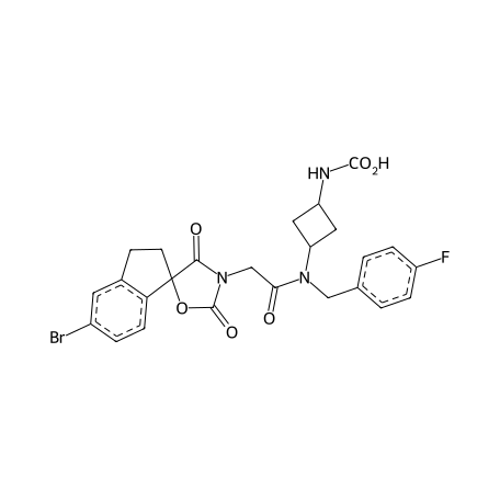 O=C(O)NC1CC(N(Cc2ccc(F)cc2)C(=O)CN2C(=O)OC3(CCc4cc(Br)ccc43)C2=O)C1